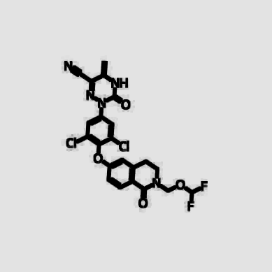 C=C1NC(=O)N(c2cc(Cl)c(Oc3ccc4c(c3)CCN(COC(F)F)C4=O)c(Cl)c2)N=C1C#N